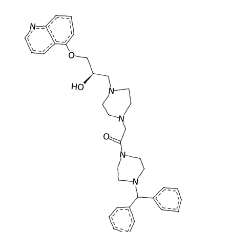 O=C(CN1CCN(C[C@@H](O)COc2cccc3ncccc23)CC1)N1CCN(C(c2ccccc2)c2ccccc2)CC1